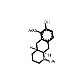 CCCN1CCC[C@@H]2Cc3c(ccc(O)c3OC(C)=O)C[C@H]21